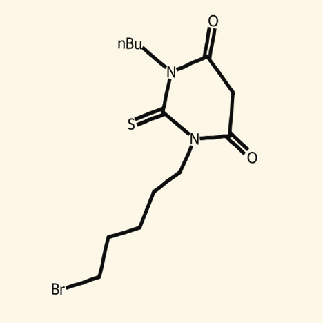 CCCCN1C(=O)CC(=O)N(CCCCCBr)C1=S